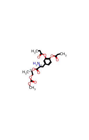 CCC(=O)Oc1ccc(C[C@H](N)C(=O)O[C@@H](C)COC(=O)OC)cc1OC(=O)CC